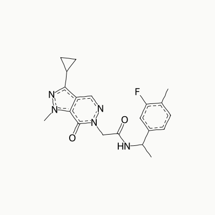 Cc1ccc(C(C)NC(=O)Cn2ncc3c(C4CC4)nn(C)c3c2=O)cc1F